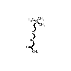 CC(=O)CNCOCC[Si](C)(C)C